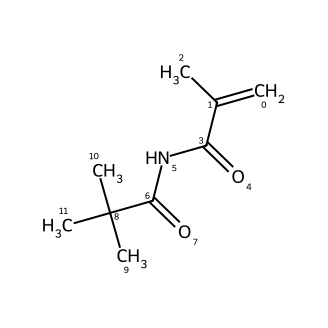 C=C(C)C(=O)NC(=O)C(C)(C)C